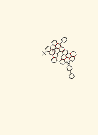 CC(C)(C)c1ccc(-c2ccccc2)c(N(c2ccc(-c3ccccc3)cc2)c2ccccc2-c2cccc3cccc(C4CCCC(c5cccc(-c6ccc(N(c7ccc(-c8ccccc8)cc7)c7ccccc7-c7cccc8cccc(C9CCCCC9)c78)c(-c7ccccc7)c6)c5)C4)c23)c1